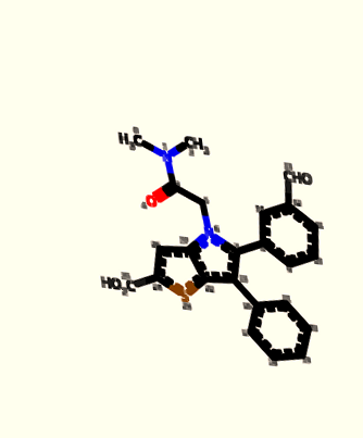 CN(C)C(=O)Cn1c(-c2cccc(C=O)c2)c(-c2ccccc2)c2sc(C(=O)O)cc21